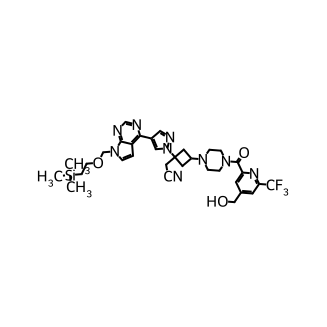 C[Si](C)(C)CCOCn1ccc2c(-c3cnn(C4(CC#N)CC(N5CCN(C(=O)c6cc(CO)cc(C(F)(F)F)n6)CC5)C4)c3)ncnc21